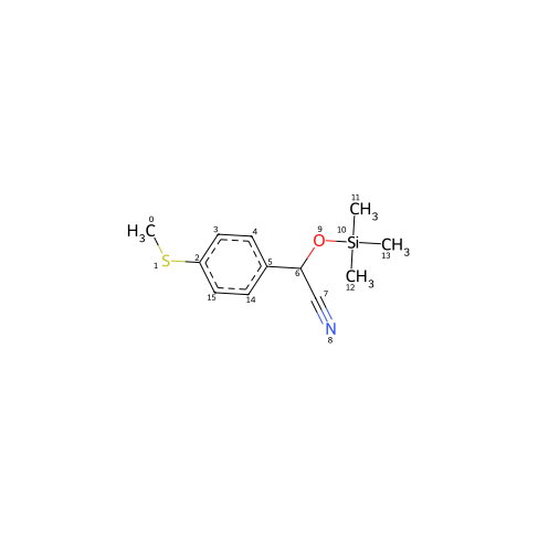 CSc1ccc(C(C#N)O[Si](C)(C)C)cc1